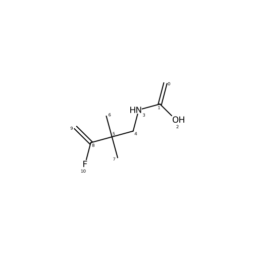 C=C(O)NCC(C)(C)C(=C)F